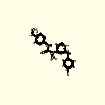 COc1ccc(NC(=O)N(C)c2cc(Nc3ccc(F)cc3)ncn2)cc1